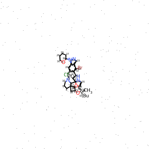 CC(C)(C)[Si](C)(C)OC1CC2(CCCN(C(=O)O)C2C2(CCc3c(Cl)cc4c(cnn4C4CCCCO4)c3Br)NC=CO2)C1